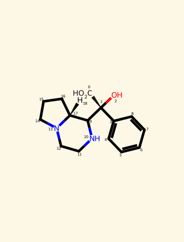 O=C(O)[C@@](O)(c1ccccc1)C1NCCN2CCC[C@H]12